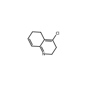 ClC1=C2CCC=CC2=NCC1